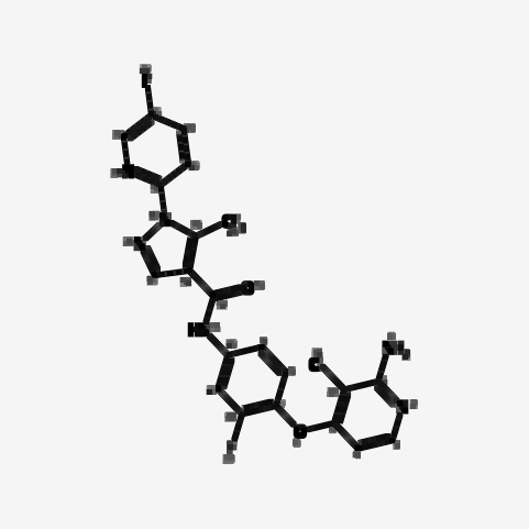 Nc1nccc(Oc2ccc(NC(=O)c3cnn(-c4ccc(F)cn4)c3C(F)(F)F)cc2F)c1Cl